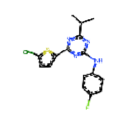 CC(C)c1nc(Nc2ccc(F)cc2)nc(-c2ccc(Cl)s2)n1